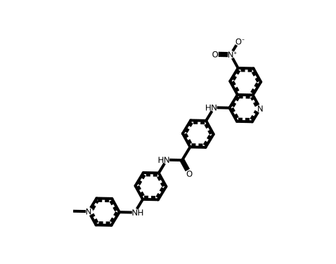 C[n+]1ccc(Nc2ccc(NC(=O)c3ccc(Nc4ccnc5ccc([N+](=O)[O-])cc45)cc3)cc2)cc1